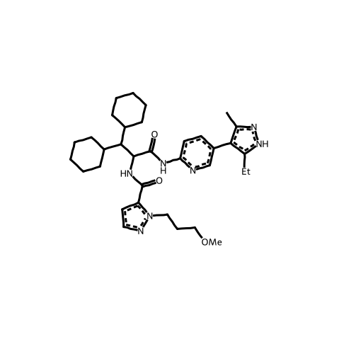 CCc1[nH]nc(C)c1-c1ccc(NC(=O)C(NC(=O)c2ccnn2CCCOC)C(C2CCCCC2)C2CCCCC2)nc1